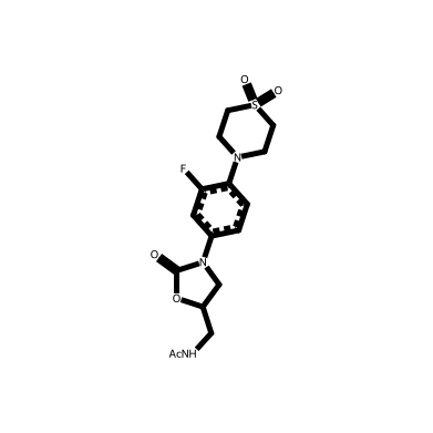 CC(=O)NCC1CN(c2ccc(N3CCS(=O)(=O)CC3)c(F)c2)C(=O)O1